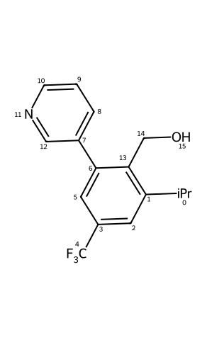 CC(C)c1cc(C(F)(F)F)cc(-c2cccnc2)c1CO